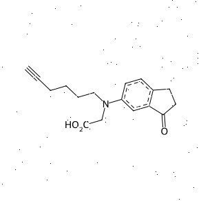 C#CCCCCN(CC(=O)O)c1ccc2c(c1)C(=O)CC2